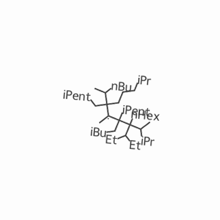 CCCCCCC(C(CC)CC)(C(C)C(C)C)C(CC(C)CC)([C](C)C(CCCC(C)C)(CC(C)CCC)C(C)CCCC)C(C)CCC